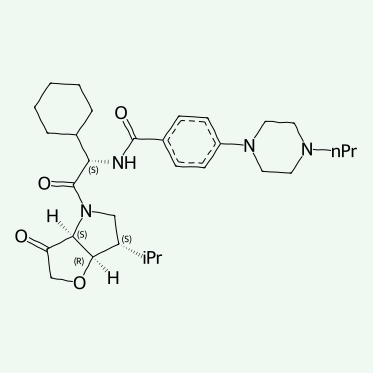 CCCN1CCN(c2ccc(C(=O)N[C@H](C(=O)N3C[C@H](C(C)C)[C@H]4OCC(=O)[C@H]43)C3CCCCC3)cc2)CC1